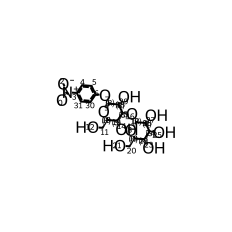 O=[N+]([O-])c1ccc(O[C@H]2O[C@H](CO)[C@H](O)[C@H](O[C@H]3O[C@H](CO)[C@H](O)[C@H](O)[C@H]3O)[C@H]2O)cc1